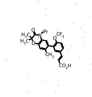 Cc1cc2c(cc1-c1cc(C=CC(=O)O)ccc1OC(F)(F)F)N(C(C)C)C(=O)C(C)(C)O2